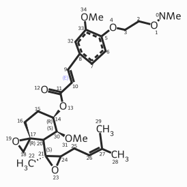 CNOCCOc1ccc(/C=C/C(=O)O[C@@H]2CC[C@]3(CO3)C([C@]3(C)OC3CC=C(C)C)[C@@H]2OC)cc1OC